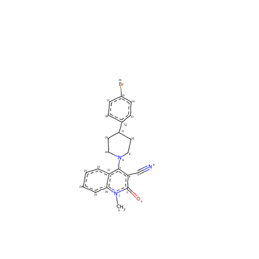 Cn1c(=O)c(C#N)c(N2CCC(c3ccc(Br)cc3)CC2)c2ccccc21